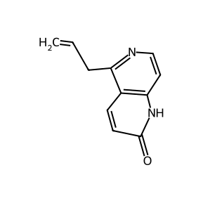 C=CCc1nccc2[nH]c(=O)ccc12